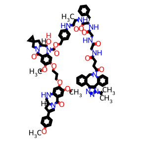 COc1ccc(C2=CN3C(=O)c4cc(OC)c(OCCCOc5cc6c(cc5OC)C(=O)N5CC7(CC7)C[C@H]5C(O)N6C(=O)OCc5ccc(NC(=O)[C@H](C)NC(=O)[C@H](Cc6ccccc6)NC(=O)CNC(=O)CNC(=O)CCC(=O)N6Cc7ccccc7-c7nnn(C(C)C)c7-c7ccccc76)cc5)cc4NC[C@@H]3C2)cc1